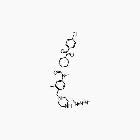 Cc1cc(N(C)C(=O)[C@H]2CC[C@H](S(=O)(=O)c3ccc(Cl)cc3)CC2)ccc1CN1CCN[C@@H](CN=[N+]=[N-])C1